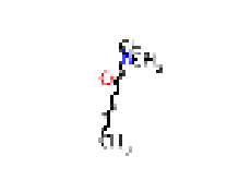 CCC[CH]CCCC(=O)CCN(C)C